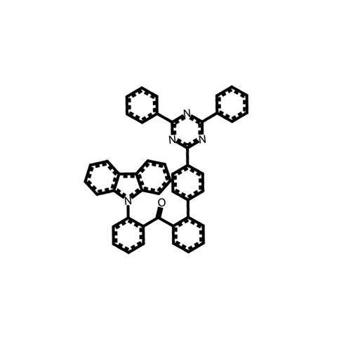 O=C(c1ccccc1-c1ccc(-c2nc(-c3ccccc3)nc(-c3ccccc3)n2)cc1)c1ccccc1-n1c2ccccc2c2ccccc21